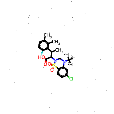 [2H]C([2H])([2H])N1CN(C(C(=O)O)C(C)c2c(F)ccc(C)c2C)S(=O)(=O)c2ccc(Cl)cc21